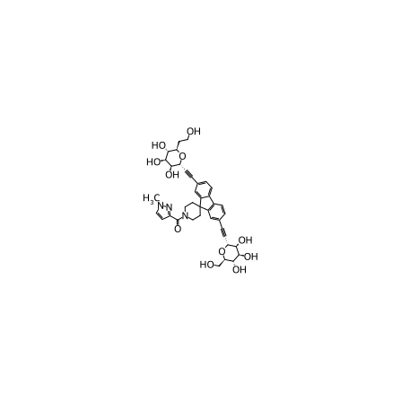 Cn1ccc(C(=O)N2CCC3(CC2)c2cc(C#C[C@H]4O[C@H](CO)[C@@H](O)[C@H](O)[C@@H]4O)ccc2-c2ccc(C#C[C@H]4O[C@H](CCO)[C@@H](O)[C@H](O)[C@@H]4O)cc23)n1